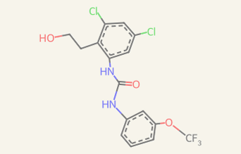 O=C(Nc1cccc(OC(F)(F)F)c1)Nc1cc(Cl)cc(Cl)c1CCO